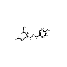 CCOC(COCc1cnc(C)cn1)OCC